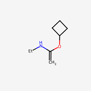 C=C(NCC)OC1CCC1